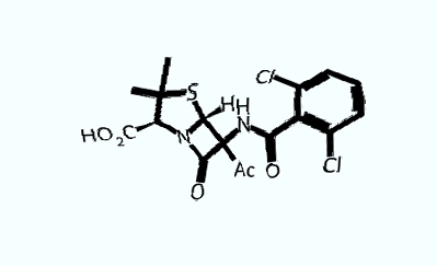 CC(=O)C1(NC(=O)c2c(Cl)cccc2Cl)C(=O)N2[C@@H](C(=O)O)C(C)(C)S[C@@H]21